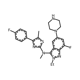 CCn1nc2c(F)cc(N3CCNCC3)cc2c1N(C)c1nc(-c2ccc(F)cc2)c(C)s1